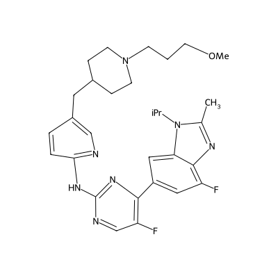 COCCCN1CCC(Cc2ccc(Nc3ncc(F)c(-c4cc(F)c5nc(C)n(C(C)C)c5c4)n3)nc2)CC1